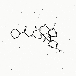 O=C(C[C@@H]1CC[C@@]2(S(=O)(=O)c3ccc(C(F)(F)F)cc3)c3c(F)ccc(F)c3OC[C@H]2C1)N1CCCCC1